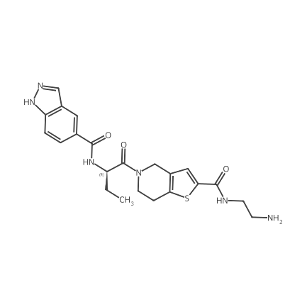 CC[C@@H](NC(=O)c1ccc2[nH]ncc2c1)C(=O)N1CCc2sc(C(=O)NCCN)cc2C1